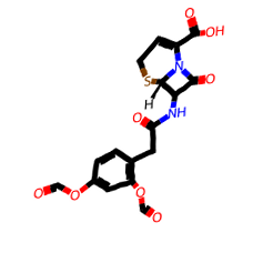 O=COc1ccc(CC(=O)NC2C(=O)N3C(C(=O)O)=CCS[C@@H]23)c(OC=O)c1